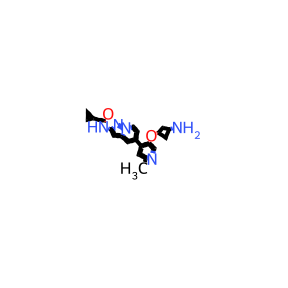 Cc1cc(-c2ccn3nc(NC(=O)C4CC4)cc3c2)c(OC2CC(N)C2)cn1